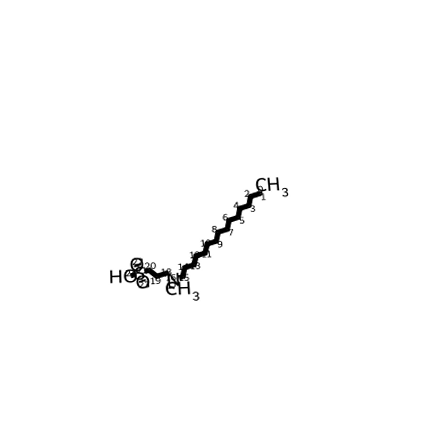 CCCCCCCCCCCCCCCCN(C)CCCS(=O)(=O)O